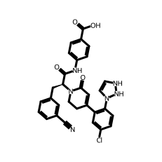 N#Cc1cccc(C[C@@H](C(=O)Nc2ccc(C(=O)O)cc2)N2CCC(c3cc(Cl)ccc3N3C=CNN3)=CC2=O)c1